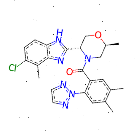 Cc1cc(C(=O)N2C[C@H](C)OC[C@H]2c2nc3c(C)c(Cl)ccc3[nH]2)c(-n2nccn2)cc1C